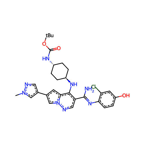 Cn1cc(-c2cc3c(N[C@H]4CC[C@H](NC(=O)OC(C)(C)C)CC4)c(/C(N)=N/c4ccc(O)cc4Cl)cnn3c2)cn1